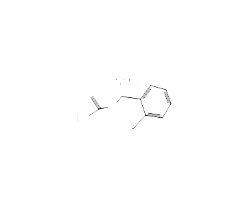 CN[C@@H](OC(=O)C(C)(C)C)c1ccccc1Cl